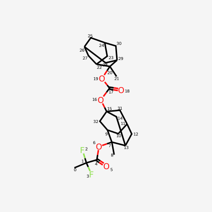 CC(F)(F)C(=O)OC1(C)C2CC3CC1CC(OC(=O)OC1(C)C4CC5CC(C4)CC1C5)(C3)C2